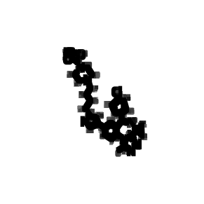 Cc1nnc2n1-c1ccc(-c3cnn(CCCCN4CCN(C(=O)OC(C)(C)C)CC4)c3)cc1C(c1ccc(Cl)cc1)=NC21CC1